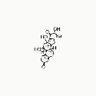 C[C@]12CCC(=O)C=C1CC[C@@H]1[C@@H]2[C@@H](O)C[C@@]2(C)[C@H]1CC[C@]2(O)C(=O)[CH](O)[Na]